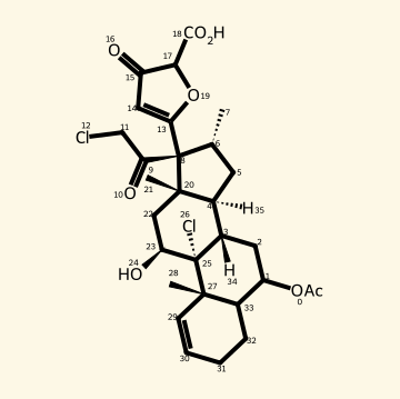 CC(=O)OC1C[C@H]2[C@@H]3C[C@@H](C)[C@@](C(=O)CCl)(C4=CC(=O)C(C(=O)O)O4)[C@@]3(C)C[C@H](O)[C@]2(Cl)[C@@]2(C)C=CCCC12